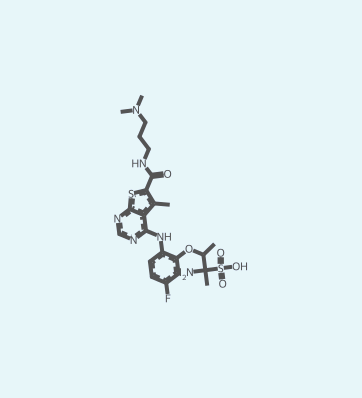 Cc1c(C(=O)NCCCN(C)C)sc2ncnc(Nc3ccc(F)cc3OC(C)C(C)(N)S(=O)(=O)O)c12